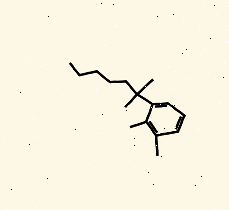 CCCCCC(C)(C)c1cccc(C)c1C